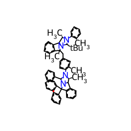 Cc1cc(CC2(C)c3ccccc3C3[C@H](C)N(c4ccccc4C)C(C(C)(C)C)N32)ccc1N1C(c2ccccc2)N2C(c3ccccc3C2(c2ccccc2)c2ccccc2)[C@@H]1C